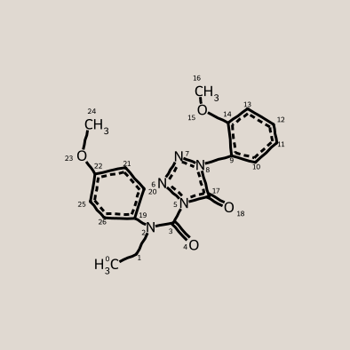 CCN(C(=O)n1nnn(-c2ccccc2OC)c1=O)c1ccc(OC)cc1